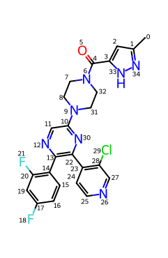 Cc1cc(C(=O)N2CCN(c3cnc(-c4ccc(F)cc4F)c(-c4ccncc4Cl)n3)CC2)[nH]n1